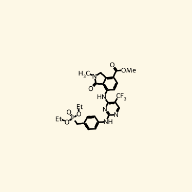 CCOP(=O)(Cc1ccc(Nc2ncc(C(F)(F)F)c(Nc3ccc(C(=O)OC)c4c3C(=O)N(C)C4)n2)cc1)OCC